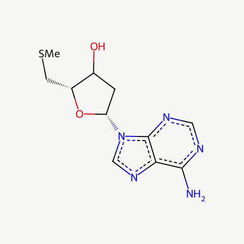 CSC[C@H]1O[C@@H](n2cnc3c(N)ncnc32)CC1O